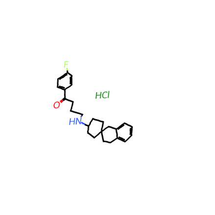 Cl.O=C(CCCNC1CCC2(CCc3ccccc3C2)CC1)c1ccc(F)cc1